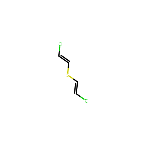 ClC=CSC=CCl